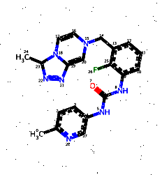 Cc1ccc(NC(=O)Nc2cccc(CN3C=CN4C(=C3)N=NC4C)c2F)cn1